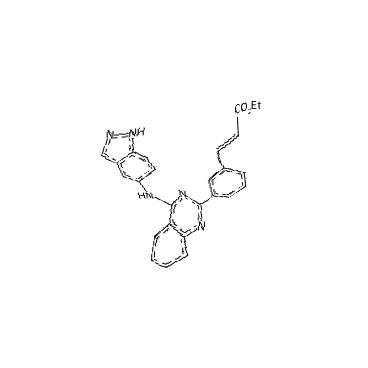 CCOC(=O)/C=C/c1cccc(-c2nc(Nc3ccc4[nH]ncc4c3)c3ccccc3n2)c1